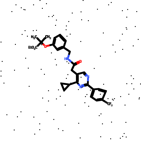 CCOC(=O)C(C)(C)Oc1cccc(CNC(=O)Cc2cnc(-c3ccc(C(F)(F)F)cc3)nc2C2CC2)c1